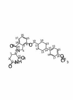 O=C1CCC(N2Cc3c(OCC4CCC(c5ccc(OC(F)(F)F)cc5)CC4)cccc3C2=O)C(=O)N1